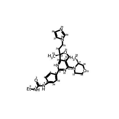 CCNC(=O)Nc1ccc(-c2nc(N3CCOC[C@@H]3C)c3c(n2)[C@](C)(CCn2ccnc2)OC3)cc1